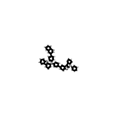 c1ccc(-n2c3ccccc3c3c4cc(-c5ccc(N(c6ccc(-c7ccc8ccccc8c7)cc6)c6cccc7c6sc6ccccc67)cc5)ccc4oc32)cc1